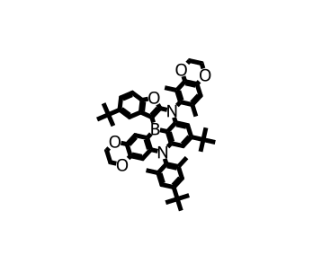 Cc1cc(C(C)(C)C)cc(C)c1N1c2cc3c(cc2B2c4c1cc(C(C)(C)C)cc4N(c1c(C)cc4c(c1C)OCCO4)c1oc4ccc(C(C)(C)C)cc4c12)OCCO3